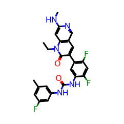 CCn1c(=O)c(-c2cc(NC(=O)Nc3cc(C)cc(F)c3)c(F)cc2F)cc2cnc(NC)cc21